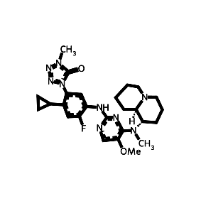 COc1cnc(Nc2cc(-n3nnn(C)c3=O)c(C3CC3)cc2F)nc1N(C)[C@H]1CCCN2CCCC[C@H]12